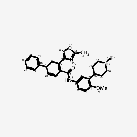 COc1ccc(NC(=O)C2=C(c3noc(C)n3)CC(c3ccccc3)C=C2)cc1C1CCN(C(C)C)CC1